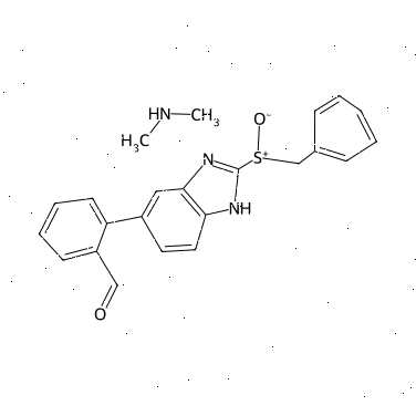 CNC.O=Cc1ccccc1-c1ccc2[nH]c([S+]([O-])Cc3ccccc3)nc2c1